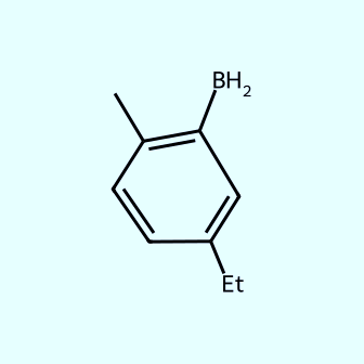 Bc1cc(CC)ccc1C